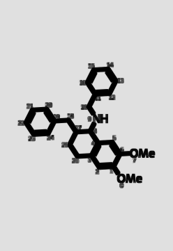 COc1cc2c(cc1OC)C(NCc1ccccc1)C(Cc1ccccc1)CC2